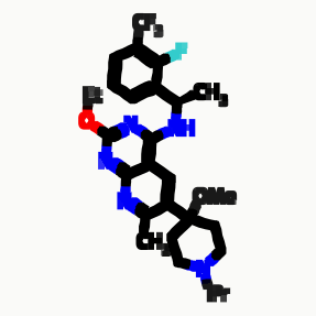 CCOc1nc(N[C@H](C)c2cccc(C(F)(F)F)c2F)c2cc(C3(OC)CCN(C(C)C)CC3)c(C)nc2n1